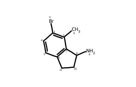 Cc1c(Br)ccc2c1C(N)CC2